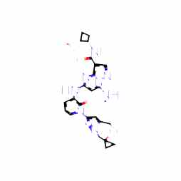 CNc1cc(Nc2cccn(-c3cc4n(n3)CC3(CC3)OC4)c2=O)nc2c(C(=O)N[C@@H]3CC[C@H]3OC)cnn12